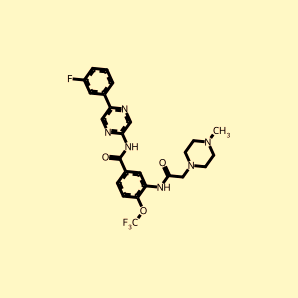 CN1CCN(CC(=O)Nc2cc(C(=O)Nc3cnc(-c4cccc(F)c4)cn3)ccc2OC(F)(F)F)CC1